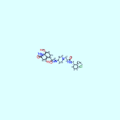 Cc1c(Cl)cccc1CNC(=O)CCN1CCC(NC[C@@H](O)c2ccc(O)c3[nH]c(=O)ccc23)CC1